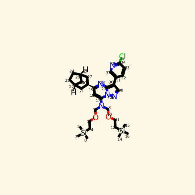 C[Si](C)(C)CCOCN(COCC[Si](C)(C)C)c1cc([C@H]2C[C@@H]3CC[C@@H](C3)C2)nc2c(-c3ccc(Cl)nc3)cnn12